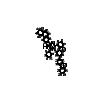 c1ccc(C2=NC(c3cccc4oc5cc(-c6ccc7c(c6)oc6ccccc67)ccc5c34)=NC(c3ccc4c(ccc5ccccc54)c3)N2)cc1